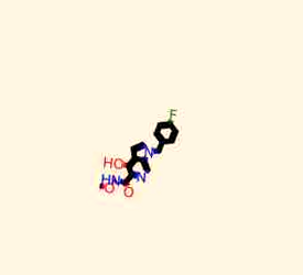 CONC(=O)c1ncc2c(ccn2Cc2ccc(F)cc2)c1O